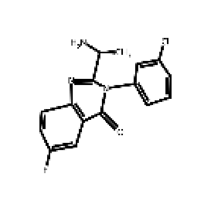 C[C@H](N)c1nc2ccc(F)cc2c(=O)n1-c1cccc(Cl)c1